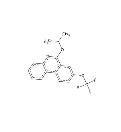 CC(C)Oc1nc2ccccc2c2ccc(OC(F)(F)F)cc12